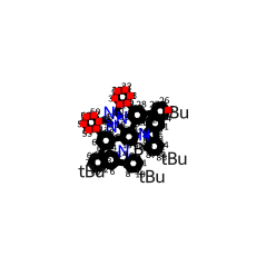 CC(C)(C)c1ccc2c(c1)c1cc(C(C)(C)C)cc3c1n2-c1c2c(c(-c4cc(-c5ccccc5)cc(-c5ccccc5)c4)c(-c4nc(-c5ccccc5)nc(-c5ccccc5)n4)c1-c1cc(-c4ccccc4)cc(-c4ccccc4)c1)-n1c4ccc(C(C)(C)C)cc4c4cc(C(C)(C)C)cc(c41)B23